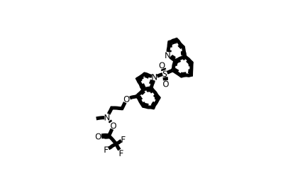 CN(CCOc1cccc2c1ccn2S(=O)(=O)c1cccc2cccnc12)OC(=O)C(F)(F)F